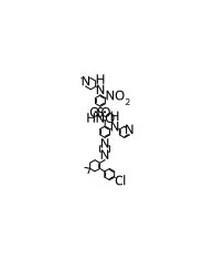 CN1CCC(Nc2ccc(S(=O)(=O)NC(=O)c3ccc(N4CCN(CC5=C(c6ccc(Cl)cc6)CC(C)(C)CC5)CC4)cc3Nc3cccnc3)cc2[N+](=O)[O-])CC1